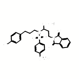 COc1ccc(S(=O)(=O)N(CCCc2ccc(Cl)cc2)C(CCN2C(=O)c3ccccc3C2=O)C(=O)O)cc1